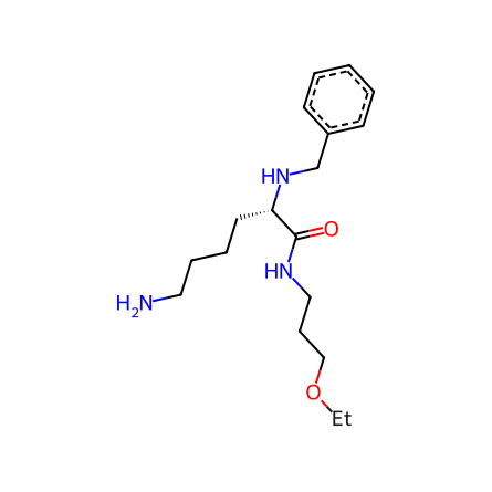 CCOCCCNC(=O)[C@H](CCCCN)NCc1ccccc1